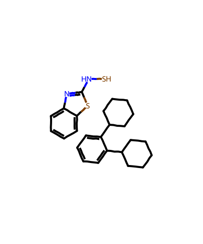 SNc1nc2ccccc2s1.c1ccc(C2CCCCC2)c(C2CCCCC2)c1